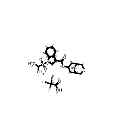 CC(C)S(=O)(=O)n1cc(C(=O)OC2CC3COCC(C2)N3)c2ccccc21.O=C(O)C(F)(F)F